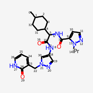 CC1CCC(C(NC(=O)c2ccnn2C(C)C)C(=O)Nc2cnn(Cc3ccc[nH]c3=O)c2)CC1